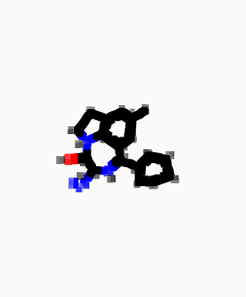 Cc1cc2c3c(c1)C(c1ccccc1)=NC(N)C(=O)N3CC2